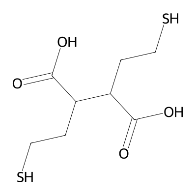 O=C(O)C(CCS)C(CCS)C(=O)O